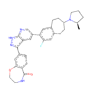 C[C@@H]1CCCN1C1CCc2cc(F)c(-c3cnc4[nH]nc(-c5ccc6c(c5)OCCNC6=O)c4c3)cc2CC1